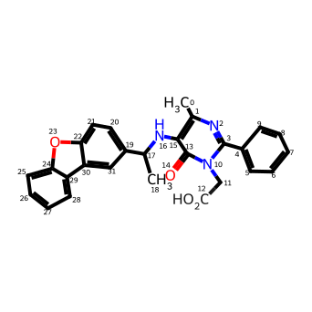 Cc1nc(-c2ccccc2)n(CC(=O)O)c(=O)c1NC(C)c1ccc2oc3ccccc3c2c1